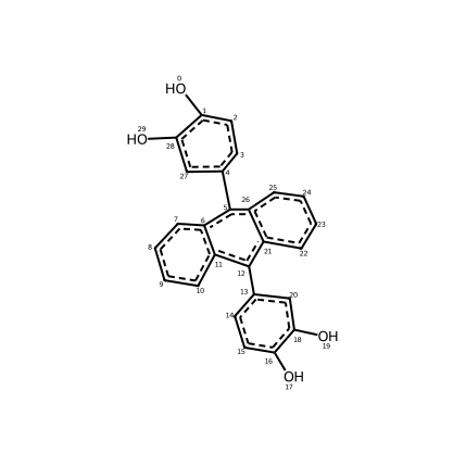 Oc1ccc(-c2c3ccccc3c(-c3ccc(O)c(O)c3)c3ccccc23)cc1O